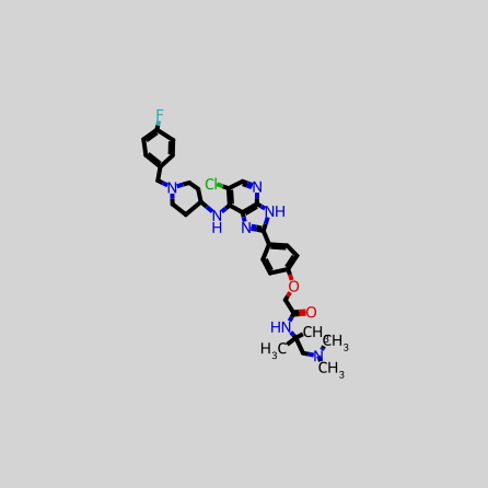 CN(C)CC(C)(C)NC(=O)COc1ccc(-c2nc3c(NC4CCN(Cc5ccc(F)cc5)CC4)c(Cl)cnc3[nH]2)cc1